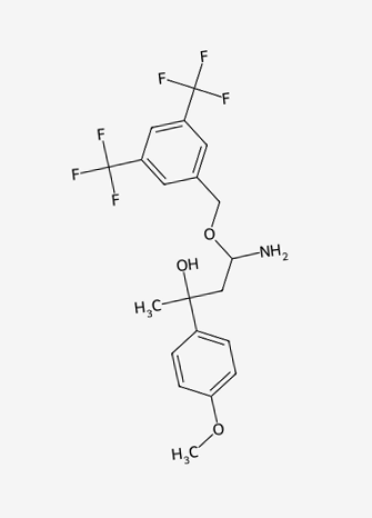 COc1ccc(C(C)(O)CC(N)OCc2cc(C(F)(F)F)cc(C(F)(F)F)c2)cc1